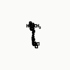 CC1OC(=O)Nc2ccc(OCCCC=NOSc3ccc(Cl)c(Cl)c3)cc21